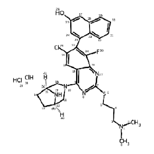 CN(C)CCCSc1nc(N2C[C@H]3CC[C@@H](C2)N3)c2cc(Cl)c(-c3cc(O)cc4ccccc34)c(F)c2n1.Cl.Cl